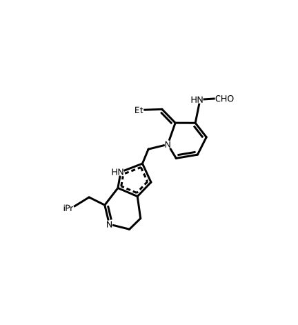 CC/C=C1/C(NC=O)=CC=CN1Cc1cc2c([nH]1)C(CC(C)C)=NCC2